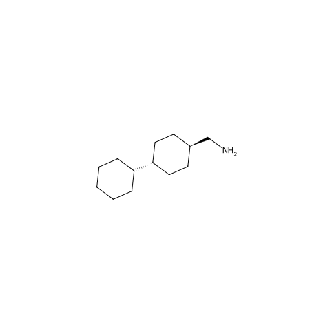 NC[C@H]1CC[C@H](C2CCCCC2)CC1